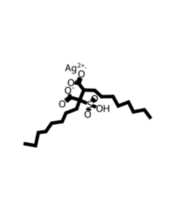 CCCCCCCCC(C(=O)[O-])C(CCCCCCCC)(C(=O)[O-])S(=O)(=O)O.[Ag+2]